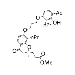 CCCc1c(OCCCOc2ccc3c(c2CCC)OC(C)(CCC(=O)OC)CC3=O)ccc(C(C)=O)c1O